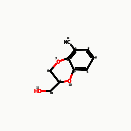 N#Cc1cccc2c1OCC(CO)O2